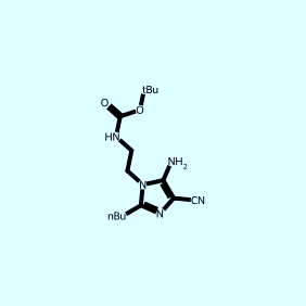 CCCCc1nc(C#N)c(N)n1CCNC(=O)OC(C)(C)C